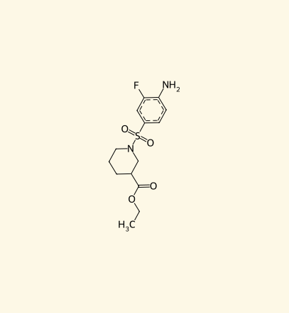 CCOC(=O)C1CCCN(S(=O)(=O)c2ccc(N)c(F)c2)C1